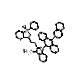 C=c1/c(=C\C=C2/CP(=O)(c3ccccc3)c3ccccc32)n(-c2c3ccccc3c(-c3ccc4ccccc4c3)c3ccccc23)c2ccccc12